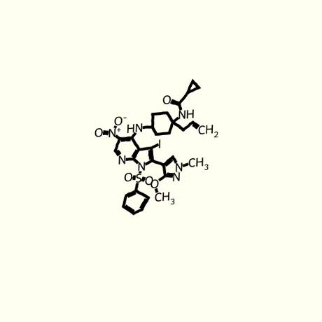 C=CCC1(NC(=O)C2CC2)CCC(Nc2c([N+](=O)[O-])cnc3c2c(I)c(-c2cn(C)nc2OC)n3S(=O)(=O)c2ccccc2)CC1